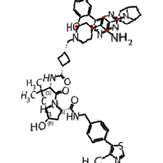 Cc1ncsc1-c1ccc(CNC(=O)[C@@H]2C[C@@H](O)CN2C(=O)[C@@H](NC(=O)[C@H]2C[C@@H](CN3CCC(c4cnc(N5C6CCC5CN(c5cc(-c7ccccc7O)nnc5N)C6)nc4)CC3)C2)C(C)(C)C)cc1